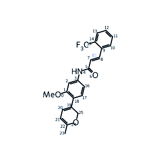 COc1cc(NC(=O)/C=C/c2ccccc2C(F)(F)F)ccc1C1=CC=C(C)OC1